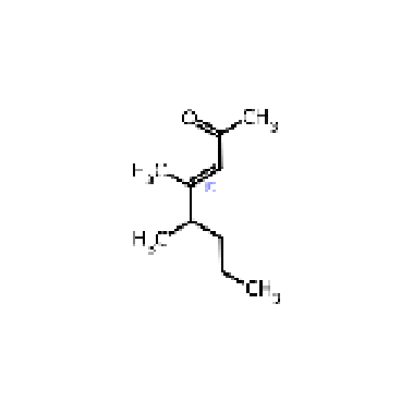 CCCC(C)/C(C)=C/C(C)=O